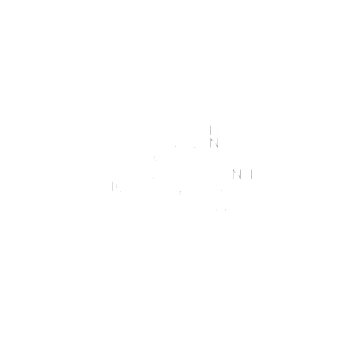 O=C(O)c1ccc2c(c1)[S+]([O-])NCN2